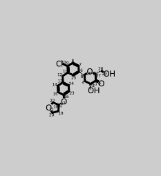 O=C1[C@H](O)C[C@H](c2ccc(Cl)c(Cc3ccc(O[C@H]4CCOC4)cc3)c2)O[C@@H]1CO